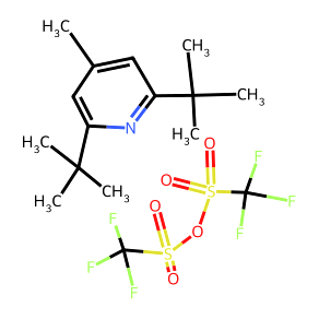 Cc1cc(C(C)(C)C)nc(C(C)(C)C)c1.O=S(=O)(OS(=O)(=O)C(F)(F)F)C(F)(F)F